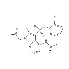 CC(=O)Nc1cccc2c1c(S(=O)(=O)Oc1ccccc1Cl)c(C)n2CC(=O)O